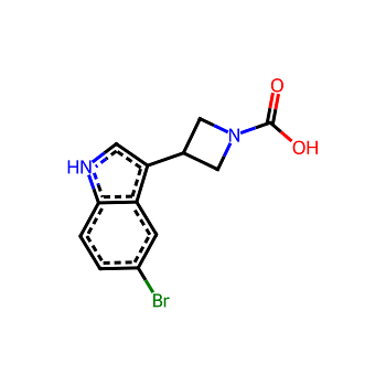 O=C(O)N1CC(c2c[nH]c3ccc(Br)cc23)C1